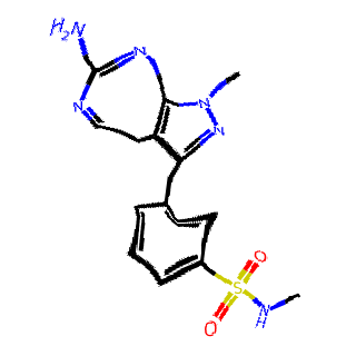 CNS(=O)(=O)c1cccc(-c2nn(C)c3nc(N)ncc23)c1